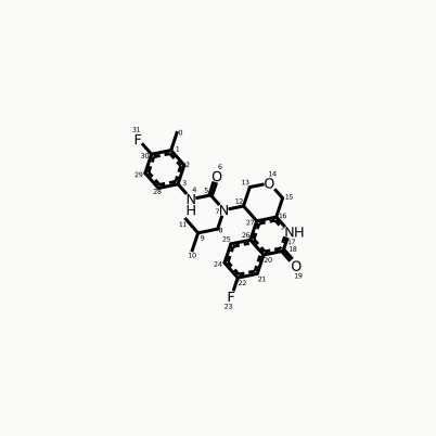 Cc1cc(NC(=O)N(CC(C)C)C2COCc3[nH]c(=O)c4cc(F)ccc4c32)ccc1F